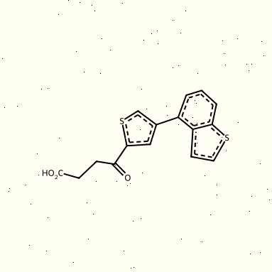 O=C(O)CCC(=O)c1cc(-c2cccc3sccc23)cs1